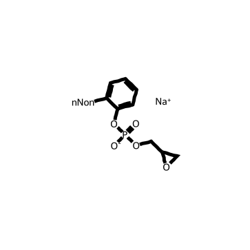 CCCCCCCCCc1ccccc1OP(=O)([O-])OCC1CO1.[Na+]